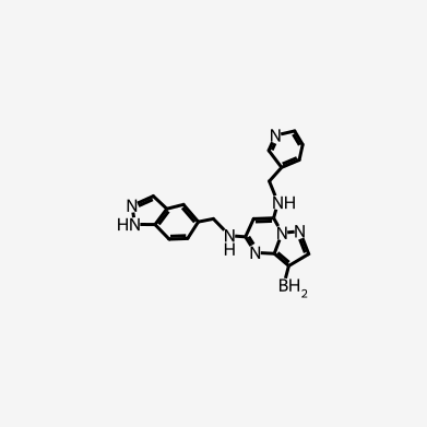 Bc1cnn2c(NCc3cccnc3)cc(NCc3ccc4[nH]ncc4c3)nc12